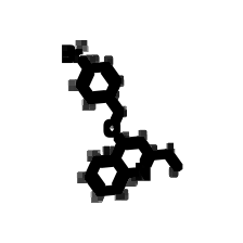 CCc1cc(OCc2ccc(Br)cc2)c2ccccc2n1